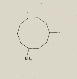 BC1CCCCCCC(C)CC1